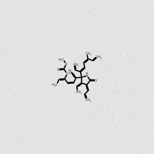 C=C/C=C1/C(=O)NC(/C(C=C)=C/C=C(/C)C=C)(C(/C=C\C(=C/C)OC(=O)OC)=C/C)/C1=C/C